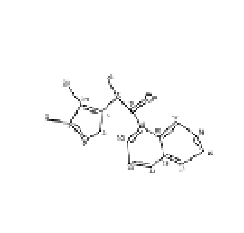 CC1=CCC(C(C)C(=O)c2cccc3ccccc23)=C1C